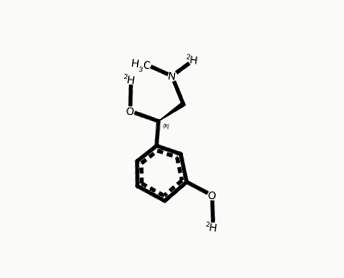 [2H]Oc1cccc([C@H](CN([2H])C)O[2H])c1